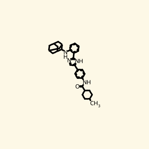 CC1CCC(C(=O)Nc2ccc(-c3cnc(-c4ccccc4NC4C5CC6CC(C5)CC4C6)[nH]3)cc2)CC1